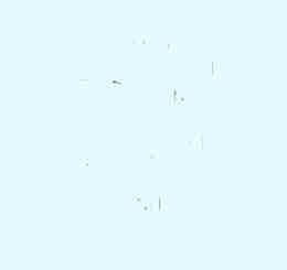 Cc1cc(-c2cccc3cc[nH]c23)c(Cl)c2c1NC(C)(C)C(=O)[C@@H]2C